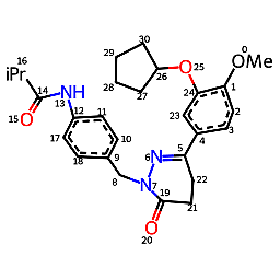 COc1ccc(C2=NN(Cc3ccc(NC(=O)C(C)C)cc3)C(=O)CC2)cc1OC1CCCC1